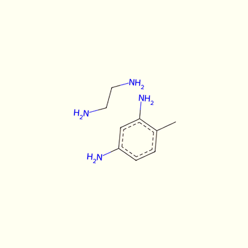 Cc1ccc(N)cc1N.NCCN